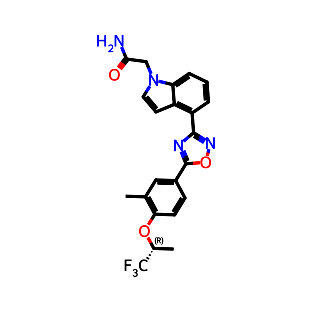 Cc1cc(-c2nc(-c3cccc4c3ccn4CC(N)=O)no2)ccc1O[C@H](C)C(F)(F)F